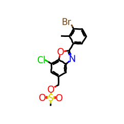 Cc1c(Br)cccc1-c1nc2cc(COS(C)(=O)=O)cc(Cl)c2o1